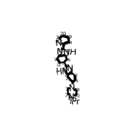 CC(C)N1CCN(c2ccc3nc(-c4ccc5nc(-c6ccccn6)[nH]c5c4)[nH]c3c2)CC1